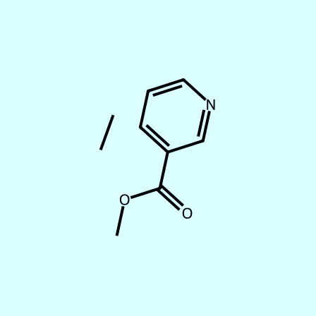 CC.COC(=O)c1cccnc1